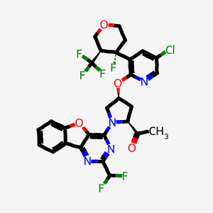 CC(=O)[C@@H]1C[C@H](Oc2ncc(Cl)cc2[C@]2(F)CCOC[C@@H]2C(F)(F)F)CN1c1nc(C(F)F)nc2c1oc1ccccc12